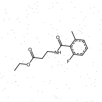 CCOC(=O)CCNC(=O)c1c(C)cccc1F